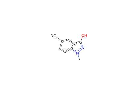 Cn1nc(O)c2cc(C#N)ccc21